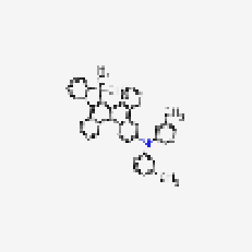 Cc1cccc(N(c2cccc(C)c2)c2ccc3c(c2)c2ccccc2c2c4c(c5ccccc5c32)-c2ccccc2C4(C)C)c1